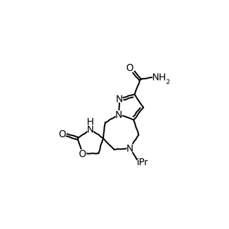 CC(C)N1Cc2cc(C(N)=O)nn2CC2(COC(=O)N2)C1